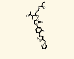 CCC(=O)OCOC(=O)C(C[C@H]1CN(c2ccc(-n3cc(Cn4cccn4)nn3)c(F)c2)C(=O)O1)C(C)=O